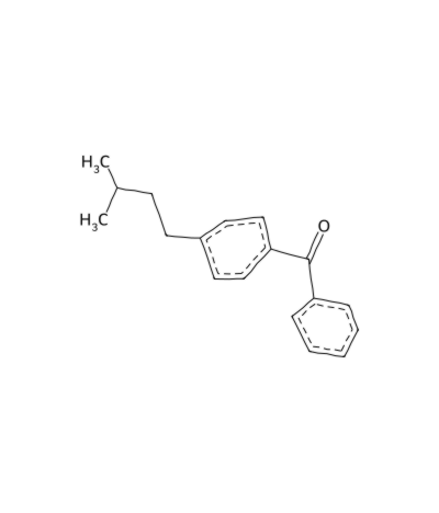 CC(C)CCc1ccc(C(=O)c2ccccc2)cc1